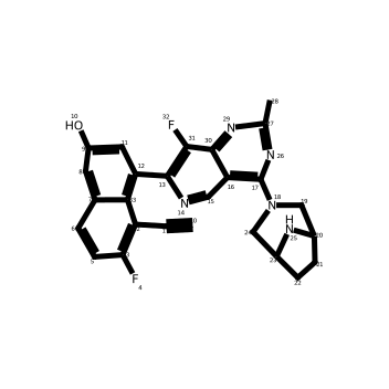 C#Cc1c(F)ccc2cc(O)cc(-c3ncc4c(N5CC6CCC(C5)N6)nc(C)nc4c3F)c12